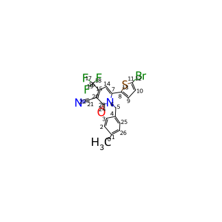 Cc1ccc(Cn2c(-c3ccc(Br)s3)cc(C(F)(F)F)c(C#N)c2=O)cc1